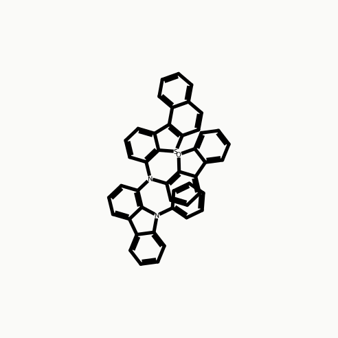 c1ccc(-n2c3ccccc3c3cccc(N(c4cccc5c4oc4ccccc45)c4cccc5c4sc4ccc6ccccc6c45)c32)cc1